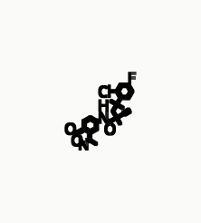 C#CC(C)(CC(C)(C)c1ccc(F)cc1Cl)C(=O)Nc1ccc2c(=O)onc(C)c2c1